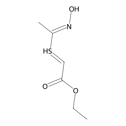 CCOC(=O)C=[SH]C(C)=NO